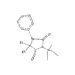 CCC1(CC)C(=O)N([Si](C)(C)C)C(=O)N1c1ccccc1